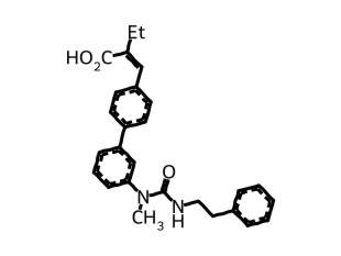 CC/C(=C/c1ccc(-c2cccc(N(C)C(=O)NCCc3ccccc3)c2)cc1)C(=O)O